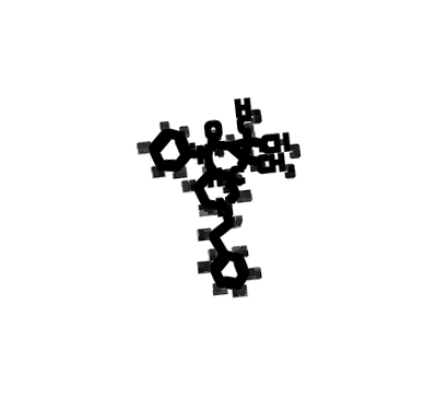 CC1(C)C(C(=O)N(c2ccccc2)C2CCN(CCc3ccccc3)CC2)C1(C)C